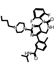 CCCCN1CCN(c2nc(-c3cc(C(=O)NC(C)C)ccc3C)c3c(n2)N(c2c(F)cccc2F)C(=O)NC3)CC1